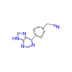 N#CCc1ccc(-c2ncnc3[nH]cnc23)cc1